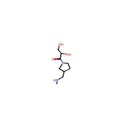 CNCC1CCN(C(=O)C(O)CO)C1